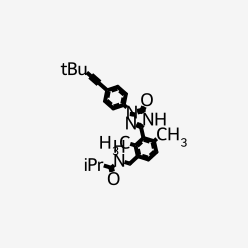 Cc1ccc(CNC(=O)C(C)C)c(C)c1-c1nn(-c2ccc(C#CC(C)(C)C)cc2)c(=O)[nH]1